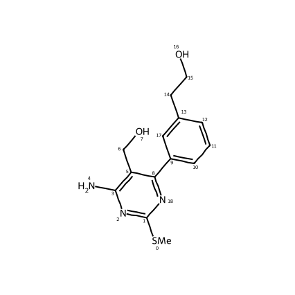 CSc1nc(N)c(CO)c(-c2cccc(CCO)c2)n1